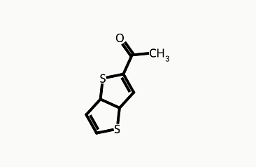 CC(=O)C1=CC2SC=CC2S1